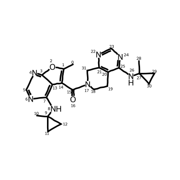 Cc1oc2ncnc(NC3(C)CC3)c2c1C(=O)N1CCc2c(ncnc2NC2(C)CC2)C1